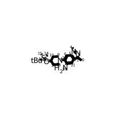 Cc1nn(C)c2cc(N3CCC(O[Si](C)(C)C(C)(C)C)CC3)c(N)cc12